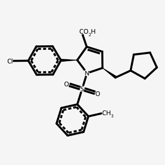 Cc1ccccc1S(=O)(=O)N1[C@@H](c2ccc(Cl)cc2)C(C(=O)O)=C[C@H]1CC1CCCC1